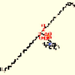 CC/C=C/C/C=C/C/C=C/C/C=C/C/C=C/C/C=C/CCC(=O)O[C@H](COC(=O)CCCCCCCCCCCCCCC)COP(=O)(O)OCC[N+](C)(C)C